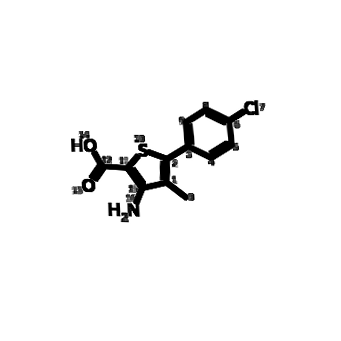 Cc1c(-c2ccc(Cl)cc2)sc(C(=O)O)c1N